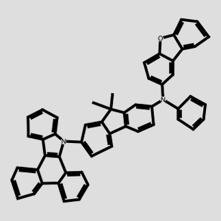 CC1(C)c2cc(N(c3ccccc3)c3ccc4oc5ccccc5c4c3)ccc2-c2ccc(-n3c4ccccc4c4c5ccccc5c5ccccc5c43)cc21